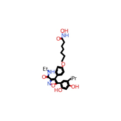 CCNC(=O)c1noc(-c2cc(C(C)C)c(O)cc2O)c1-c1ccc(OCCCCCCC(=O)NO)cc1